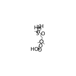 Cc1cc(CCC(=O)c2sc(C)c3c2C[C@@H]2[C@H]3C2(C)C)cc(C)c1OCC(=O)O